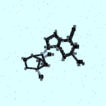 CC[C@@]12COC([C@H](n3cnc4c(=O)[nH]c(N)nc43)O1)[C@H]2C